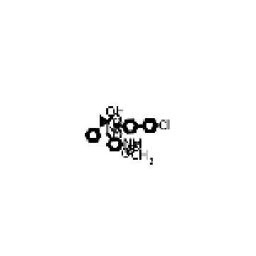 CS(=O)(=O)Nc1cccc(CN([C@]2(C(=O)O)C[C@H]2c2ccccc2)S(=O)(=O)c2ccc(-c3ccc(Cl)cc3)cc2)c1